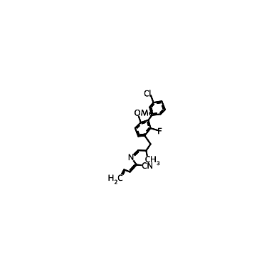 C=C/C=C(C#N)\N=C/C(C)Cc1ccc(OC)c(-c2cccc(Cl)c2)c1F